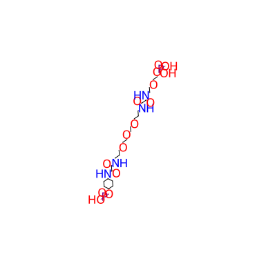 CP(=O)(O)O[C@H]1CC[C@@H](NC(=O)C(=O)NCCCOCCOCCOCCCNC(=O)C(=O)NCCOCCOP(=O)(O)O)CC1